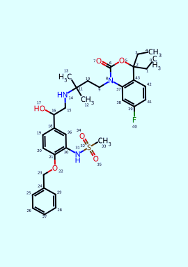 CCC1(CC)OC(=O)N(CCC(C)(C)NCC(O)c2ccc(OCc3ccccc3)c(NS(C)(=O)=O)c2)c2cc(F)ccc21